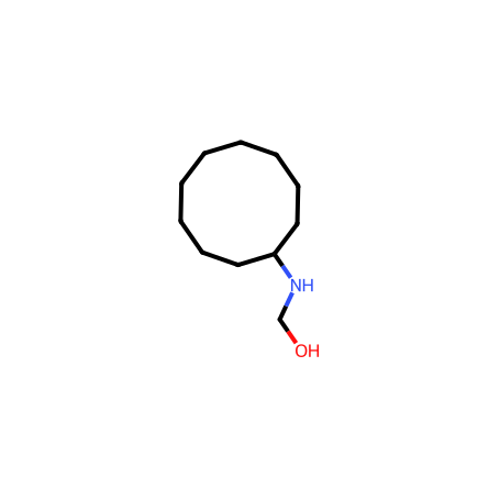 OCNC1CCCCCCCCC1